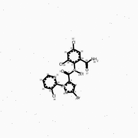 CCN(C(=O)c1cc(Br)nn1-c1ncccc1Cl)c1c(Cl)cc(Cl)cc1C(N)=O